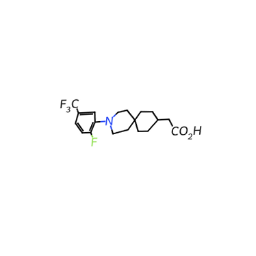 O=C(O)CC1CCC2(CC1)CCN(c1cc(C(F)(F)F)ccc1F)CC2